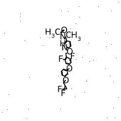 CC(=O)NC(C)c1ccc(OCc2c(F)cc(Oc3cccc(OCC4CC4(F)F)c3)cc2F)nc1